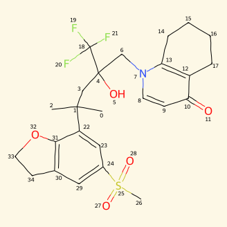 CC(C)(CC(O)(Cn1ccc(=O)c2c1CCCC2)C(F)(F)F)c1cc(S(C)(=O)=O)cc2c1OCC2